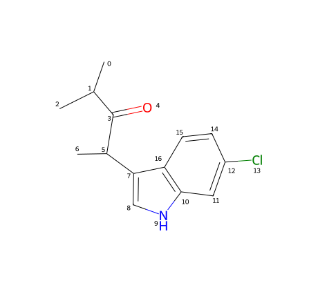 CC(C)C(=O)C(C)c1c[nH]c2cc(Cl)ccc12